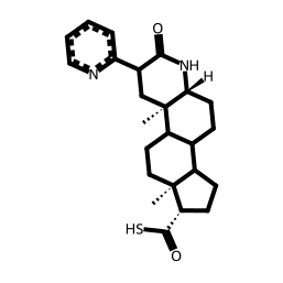 C[C@]12CCC3C(CC[C@H]4NC(=O)C(c5ccccn5)C[C@]34C)C1CC[C@@H]2C(=O)S